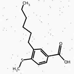 CCCCCCc1cc(C(=O)O)ccc1SC